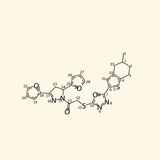 CC1CCc2sc(-c3nnc(SCC(=O)N4N=C(c5ccco5)CC4c4ccco4)o3)cc2C1